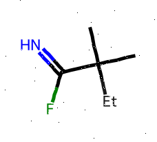 CCC(C)(C)C(=N)F